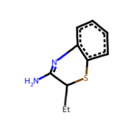 CCC1Sc2ccccc2N=C1N